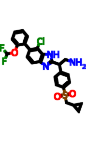 NCC(c1ccc(S(=O)(=O)CC2CC2)cc1)c1nc2ccc(-c3ccccc3OC(F)F)c(Cl)c2[nH]1